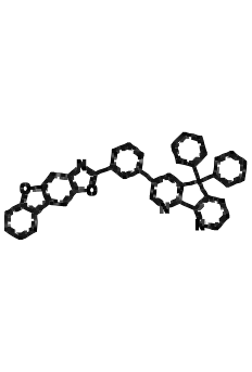 c1ccc(C2(c3ccccc3)c3cccnc3-c3ncc(-c4cccc(-c5nc6cc7oc8ccccc8c7cc6o5)c4)cc32)cc1